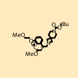 COCCOc1cccc([C@H](CC(=C=O)OC)CN2CC3(CCN(C(=O)OC(C)(C)C)CC3)C2)c1